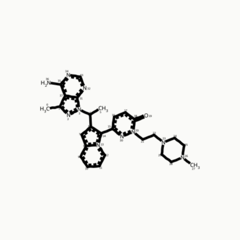 Cc1nn(C(C)c2cc3ccccn3c2-c2ccc(=O)n(CCN3CCN(C)CC3)n2)c2ncnc(N)c12